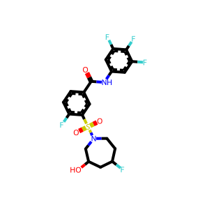 O=C(Nc1cc(F)c(F)c(F)c1)c1ccc(F)c(S(=O)(=O)N2CCC(F)CC(O)C2)c1